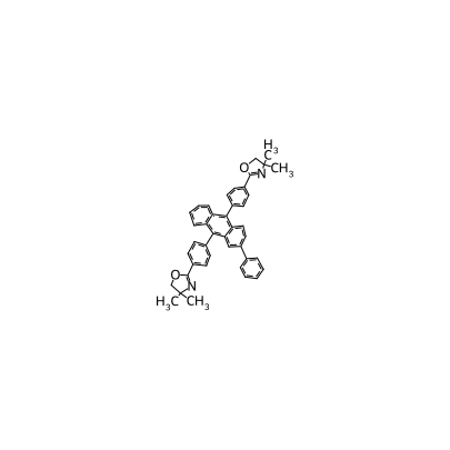 CC1(C)COC(c2ccc(-c3c4ccccc4c(-c4ccc(C5=NC(C)(C)CO5)cc4)c4cc(-c5ccccc5)ccc34)cc2)=N1